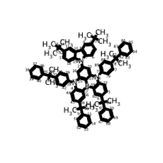 CC(C)(C)c1ccc2c(c1)c1cc(C(C)(C)C)ccc1n2-c1cc2c3c(c1)N(c1ccc(C(C)(C)c4ccccc4)cc1)c1ccc(C(C)(C)c4ccccc4)cc1B3c1cc(C(C)(C)c3ccccc3)ccc1N2c1ccc(C(C)(C)c2ccccc2)cc1